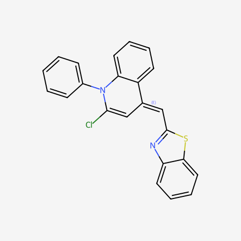 ClC1=C/C(=C\c2nc3ccccc3s2)c2ccccc2N1c1ccccc1